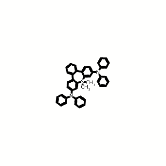 CS1(C)c2cc(N(c3ccccc3)c3ccccc3)ccc2-c2ccccc2-c2ccc(N(c3ccccc3)c3ccccc3)cc21